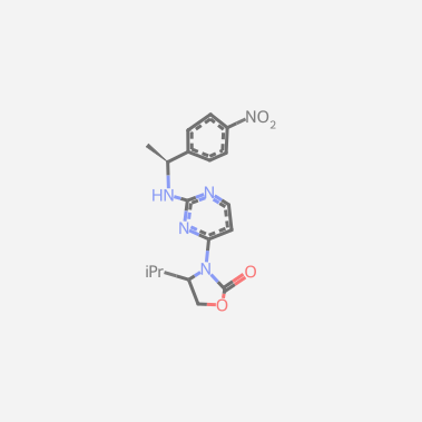 CC(C)C1COC(=O)N1c1ccnc(N[C@@H](C)c2ccc([N+](=O)[O-])cc2)n1